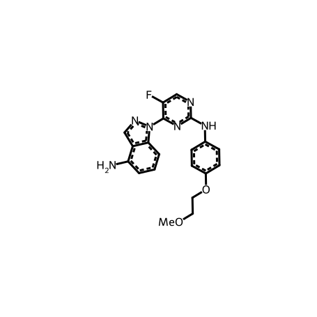 COCCOc1ccc(Nc2ncc(F)c(-n3ncc4c(N)cccc43)n2)cc1